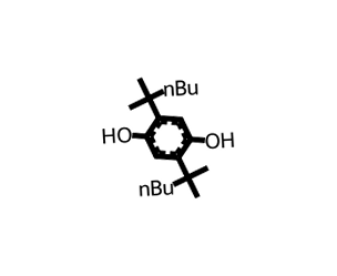 CCCCC(C)(C)c1cc(O)c(C(C)(C)CCCC)cc1O